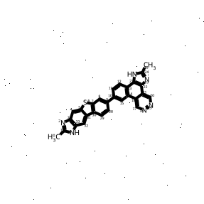 Cc1nc2cc3sc4cc(-c5ccc6c(c5)c5cnncc5c5nc(C)[nH]c65)ccc4c3cc2[nH]1